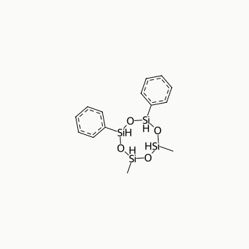 C[SiH]1O[SiH](C)O[SiH](c2ccccc2)O[SiH](c2ccccc2)O1